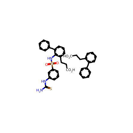 NC(=S)Nc1cccc(S(=O)(=O)Nc2c(CCC(=O)O)cccc2-c2ccccc2)c1.O=C(O)CCc1ccccc1-c1ccccc1